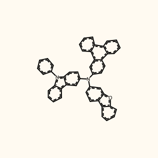 c1ccc(-n2c3ccccc3c3cc(N(c4ccc5c(c4)oc4ccccc45)c4ccc5c6ccccc6c6ccccc6c5c4)ccc32)cc1